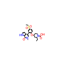 CCC1CC(Oc2ccc(S(=O)(=O)CC)cc2-c2cn(C)c(=O)c3[nH]ccc23)CCN1C(=O)O